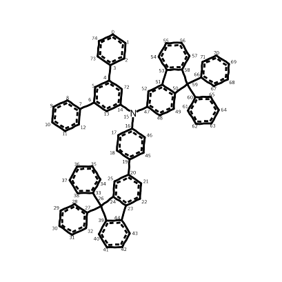 c1ccc(-c2cc(-c3ccccc3)cc(N(c3ccc(-c4ccc5c(c4)C(c4ccccc4)(c4ccccc4)c4ccccc4-5)cc3)c3ccc4c(c3)-c3ccccc3C4(c3ccccc3)c3ccccc3)c2)cc1